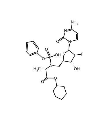 C[C@@H](C(=O)OC1CCCCC1)N(C[C@H]1S[C@@H](n2ccc(N)nc2=O)[C@@H](F)[C@@H]1O)P(=O)(O)Oc1ccccc1